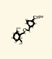 COc1ccc(COCc2c(I)cccc2I)cc1